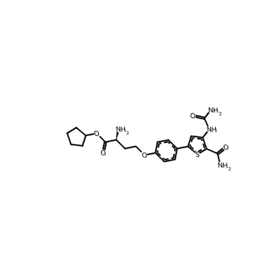 NC(=O)Nc1cc(-c2ccc(OCC[C@H](N)C(=O)OC3CCCC3)cc2)sc1C(N)=O